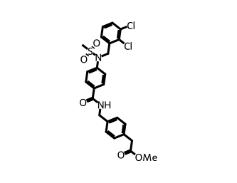 COC(=O)Cc1ccc(CNC(=O)c2ccc(N(Cc3cccc(Cl)c3Cl)S(C)(=O)=O)cc2)cc1